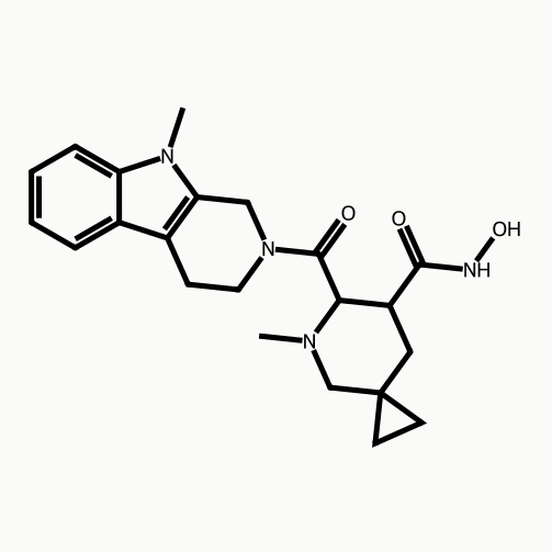 CN1CC2(CC2)CC(C(=O)NO)C1C(=O)N1CCc2c(n(C)c3ccccc23)C1